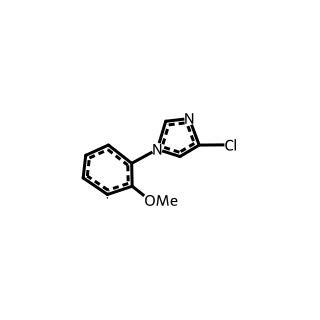 COc1[c]cccc1-n1cnc(Cl)c1